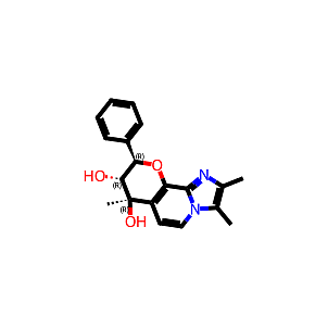 Cc1nc2c3c(ccn2c1C)[C@@](C)(O)[C@H](O)[C@@H](c1ccccc1)O3